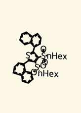 CCCCCCS(=O)(=O)c1c(-c2cccc3ccccc23)sc(-c2cccc3ccccc23)c1S(=O)(=O)CCCCCC